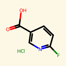 Cl.O=C(O)c1ccc(F)nc1